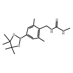 CNC(=O)NCc1c(C)cc(B2OC(C)(C)C(C)(C)O2)cc1C